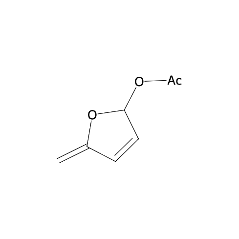 C=C1C=CC(OC(C)=O)O1